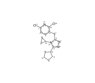 Clc1ccc(Sc2nnc(C3CCCC3)n2C2CC2)c(Cl)n1